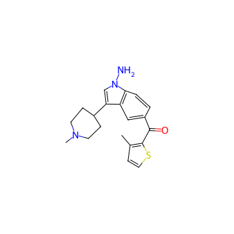 Cc1ccsc1C(=O)c1ccc2c(c1)c(C1CCN(C)CC1)cn2N